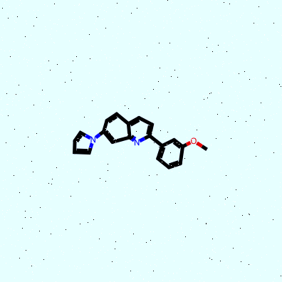 COc1cccc(-c2ccc3ccc(-n4cccc4)cc3n2)c1